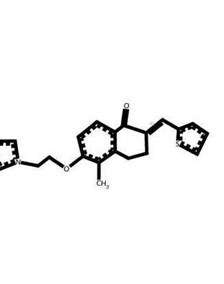 Cc1c(OCCn2ccnc2)ccc2c1CC/C(=C\c1cccs1)C2=O